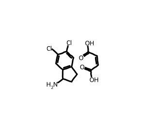 NC1CCc2cc(Cl)c(Cl)cc21.O=C(O)/C=C\C(=O)O